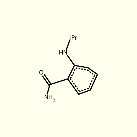 CC(C)Nc1ccccc1C(N)=O